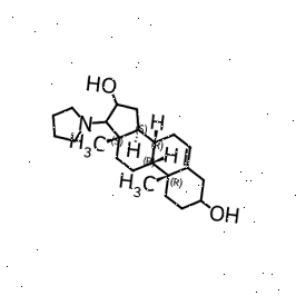 C[C@]12CCC(O)CC1=CC[C@@H]1[C@H]2CC[C@]2(C)C(N3CCCC3)C(O)C[C@@H]12